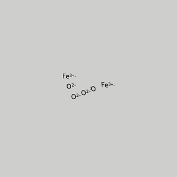 [Fe+3].[Fe+3].[O-2].[O-2].[O-2].[O]